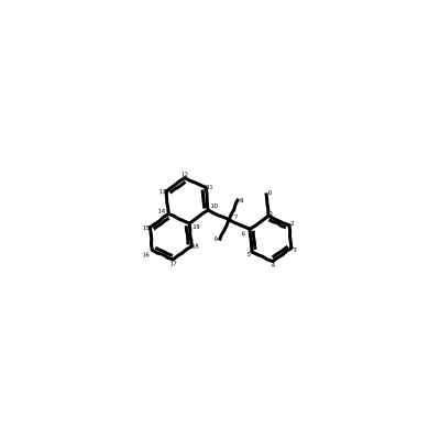 Cc1ccccc1C(C)(C)c1cccc2ccccc12